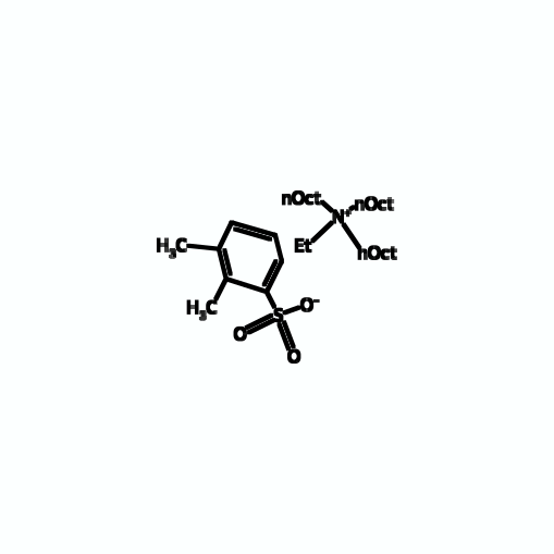 CCCCCCCC[N+](CC)(CCCCCCCC)CCCCCCCC.Cc1cccc(S(=O)(=O)[O-])c1C